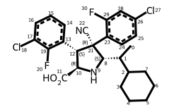 CC(C1CCCCC1)[C@@H]1N[C@@H](C(=O)O)[C@H](c2cccc(Cl)c2F)[C@@]1(C#N)c1ccc(Cl)cc1F